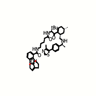 Cc1ncsc1-c1ccc([C@H](C)NC[C@@H]2C[C@@H](C)CC=C2C(=O)[C@@H](NC(=O)CCCCNC(=O)c2cccc3c2N=C(/C2=C\CCOCCC2)C3)C(C)(C)C)cc1